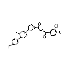 CC1CN(C2CCN(C(=O)CNC(=O)c3ccc(Cl)c(Cl)c3)C2)CCC1c1ccc(F)cc1